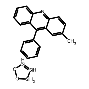 Cc1ccc2nc3ccccc3c(-c3ccccc3)c2c1.O1O[SiH2][SiH]=[SiH]1